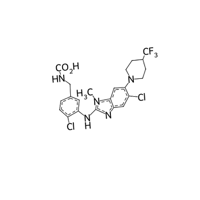 Cn1c(Nc2cc(CNC(=O)O)ccc2Cl)nc2cc(Cl)c(N3CCC(C(F)(F)F)CC3)cc21